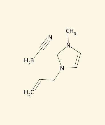 BC#N.C=CCN1C=CN(C)C1